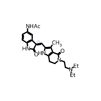 CCN(CC)CCN1CCc2[nH]c(/C=C3\C(=O)Nc4ccc(NC(C)=O)cc43)c(C)c2C1=O